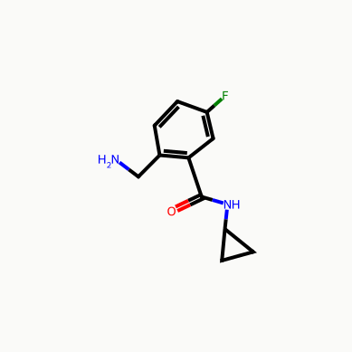 NCc1ccc(F)cc1C(=O)NC1CC1